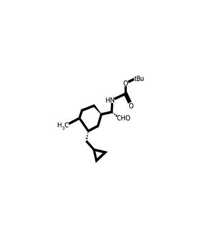 CC1CC[C@@H]([C@@H](C=O)NC(=O)OC(C)(C)C)C[C@@H]1CC1CC1